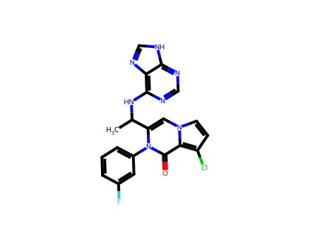 CC(Nc1ncnc2[nH]cnc12)c1cn2ccc(Cl)c2c(=O)n1-c1cccc(F)c1